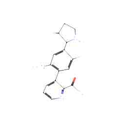 CC(=O)N1CCC(F)C1c1cc([N+](=O)[O-])c(-c2cccnc2C(N)=O)cc1F